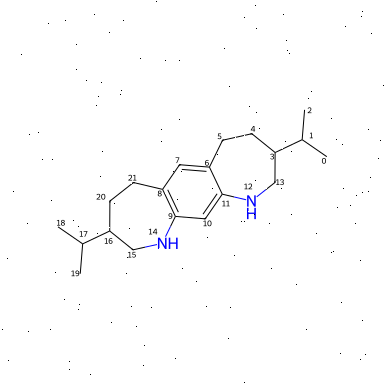 CC(C)C1CCc2cc3c(cc2NC1)NCC(C(C)C)CC3